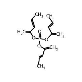 C=C(/C=C/C)OP(=O)(OC(=C)/C=C/C)OC(=C)/C=C/C